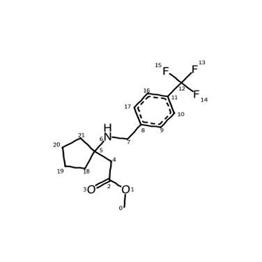 COC(=O)CC1(NCc2ccc(C(F)(F)F)cc2)CCCC1